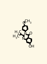 COc1ccc(-n2c(C(C)C)nc3cc(O)ccc3c2=O)cc1